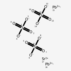 O=S(=O)([O-])[O-].O=S(=O)([O-])[O-].O=S(=O)([O-])[O-].[Pb+2].[Pb+2].[Sr+2]